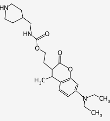 CCN(CC)c1ccc2c(c1)OC(=O)C(CCOC(=O)NCC1CCNCC1)C2C